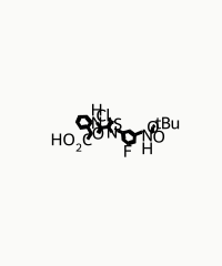 CC(C)(C)OC(=O)NCc1cc(F)cc(-c2nc(C(=O)Nc3ccccc3CC(=O)O)c(Cl)s2)c1